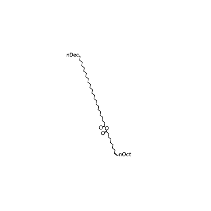 CCCCCCCC/C=C\CCCCCCCC(=O)OC(=O)CCCCCCCCCCCCCCCCCCCCCCCCCCCCCCCCCCC